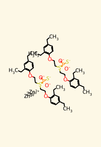 CCc1ccc(OCCS(CCOc2ccc(CC)cc2CC)=P([O-])([O-])[S-])c(CC)c1.CCc1ccc(OCCS(CCOc2ccc(CC)cc2CC)=P([O-])([O-])[S-])c(CC)c1.[Zn+2].[Zn+2].[Zn+2]